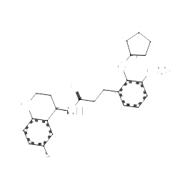 COc1cccc(CCC(=O)NC2CCSc3ccc(Cl)cc32)c1OC1CCCC1